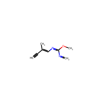 C#C/C(C)=C/N=C(\N=C)OC